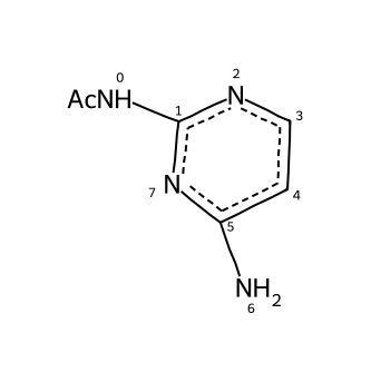 CC(=O)Nc1nccc(N)n1